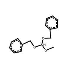 CO[SiH](OCc1ccccc1)OCc1ccccc1